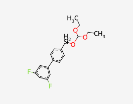 CCOC(OCC)O[SiH2]c1ccc(-c2cc(F)cc(F)c2)cc1